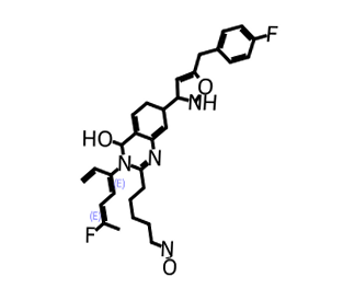 C=C/C(=C\C=C(/C)F)N1C(CCCCCN=O)=NC2=CC(C3C=C(Cc4ccc(F)cc4)ON3)CC=C2C1O